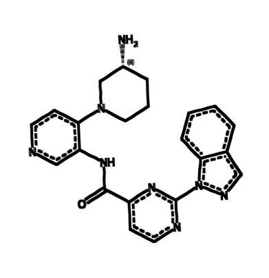 N[C@@H]1CCCN(c2ccncc2NC(=O)c2ccnc(-n3ncc4ccccc43)n2)C1